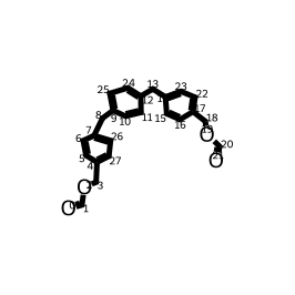 O=COCc1ccc(Cc2ccc(Cc3ccc(COC=O)cc3)cc2)cc1